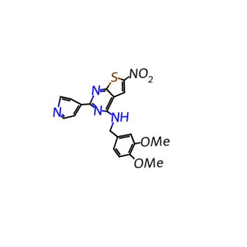 COc1ccc(CNc2nc(-c3ccncc3)nc3sc([N+](=O)[O-])cc23)cc1OC